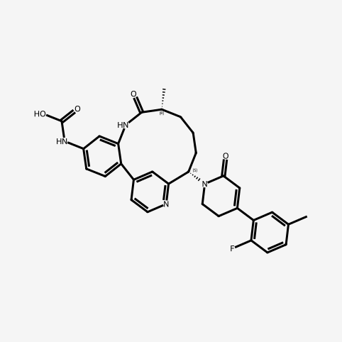 Cc1ccc(F)c(C2=CC(=O)N([C@H]3CCC[C@@H](C)C(=O)Nc4cc(NC(=O)O)ccc4-c4ccnc3c4)CC2)c1